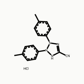 Cc1ccc(N2N=C(C#N)NN2c2ccc(C)cc2)cc1.Cl